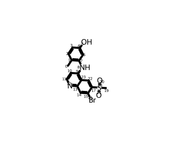 Cc1ccc(O)cc1Nc1ccnc2cc(Br)c(S(C)(=O)=O)cc12